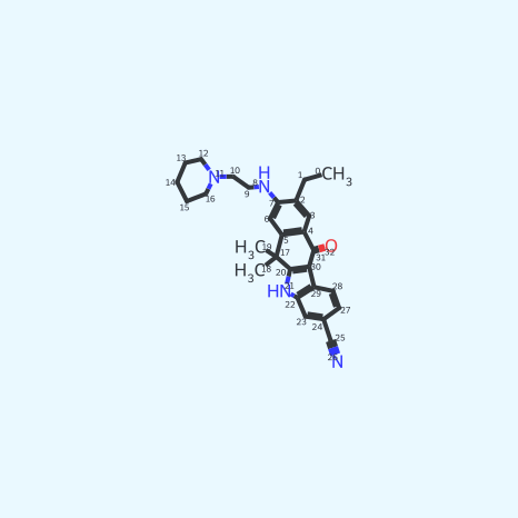 CCc1cc2c(cc1NCCN1CCCCC1)C(C)(C)c1[nH]c3cc(C#N)ccc3c1C2=O